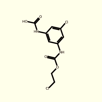 O=C(O)Nc1cc(Cl)cc(NC(=O)OCCCl)c1